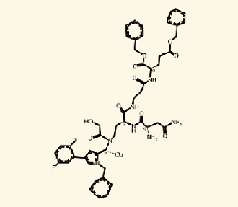 CC(C)(C)[C@H](c1cc(-c2cc(F)ccc2F)cn1Cc1ccccc1)N(CC[C@H](NC(=O)[C@@H](N)CC(N)=O)C(=O)NCCC(=O)N[C@H](CCC(=O)OCc1ccccc1)C(=O)OCc1ccccc1)C(=O)CO